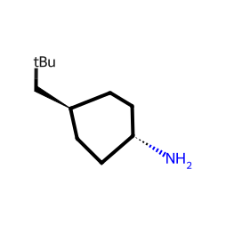 CC(C)(C)C[C@H]1CC[C@H](N)CC1